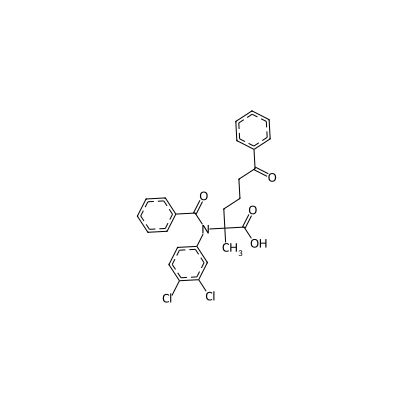 CC(CCCC(=O)c1ccccc1)(C(=O)O)N(C(=O)c1ccccc1)c1ccc(Cl)c(Cl)c1